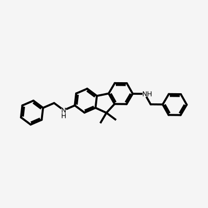 CC1(C)c2cc(NCc3ccccc3)ccc2-c2ccc(NCc3ccccc3)cc21